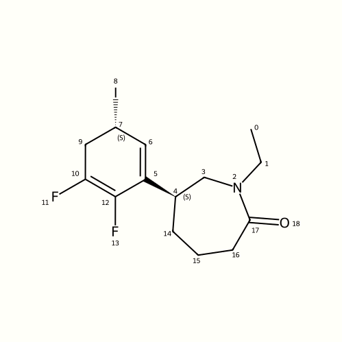 CCN1C[C@H](C2=C[C@@H](I)CC(F)=C2F)CCCC1=O